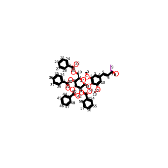 COc1cc(/C=C/C(=O)I)cc(OC)c1O[C@@H]1O[C@H](COC(=O)c2ccccc2)[C@H](OC(=O)c2ccccc2)[C@H](OC(=O)c2ccccc2)[C@H]1OC(=O)c1ccccc1